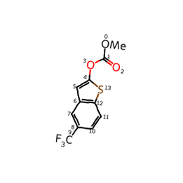 COC(=O)Oc1cc2cc(C(F)(F)F)ccc2s1